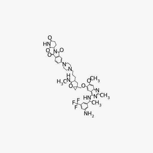 CNC(=O)C(CCCN1CCN(c2ccc3c(c2)C(=O)N(C2CCC(=O)NC2=O)C3=O)CC1)CC1(COc2cc3c(NC(C)c4cc(N)cc(C(F)(F)F)c4)nc(C)nc3cc2OC)CC1